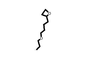 [CH2]CCOCCCCC1CCO1